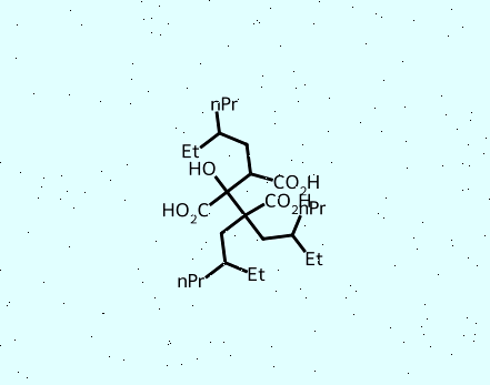 CCCC(CC)CC(C(=O)O)C(O)(C(=O)O)C(CC(CC)CCC)(CC(CC)CCC)C(=O)O